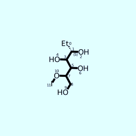 CC[C@H](O)C(O)C(O)C(CO)OI